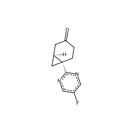 O=C1CC[C@@]2(c3ncc(F)cn3)C[C@H]2C1